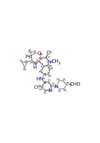 Cn1c(=O)c2c(c3cc(Nc4cc(N5CCC(C=O)CC5)ncc4Cl)ccc31)NC(C1CC1)C(F)(F)CO2